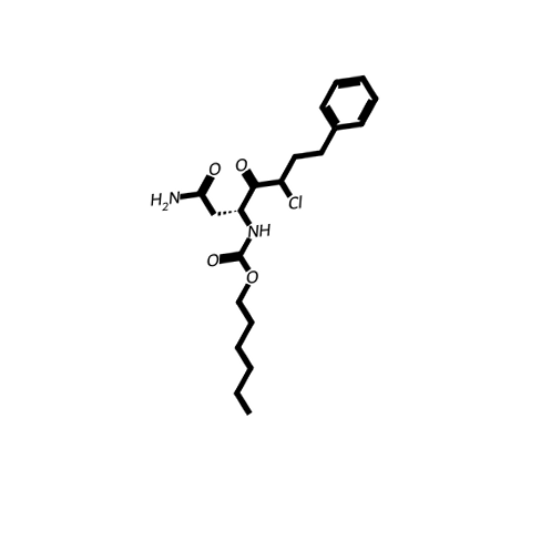 CCCCCCOC(=O)N[C@H](CC(N)=O)C(=O)C(Cl)CCc1ccccc1